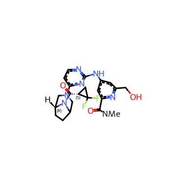 CNC(=O)c1cc(Nc2nccc(N3CC4CC[C@H](C3)N4C(=O)[C@@H]3CC3(F)F)n2)cc(CO)n1